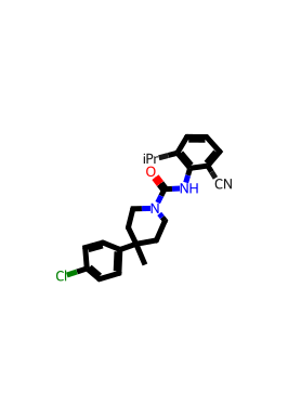 CC(C)c1cccc(C#N)c1NC(=O)N1CCC(C)(c2ccc(Cl)cc2)CC1